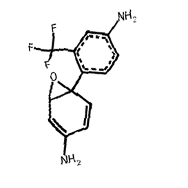 NC1=CC2OC2(c2ccc(N)cc2C(F)(F)F)C=C1